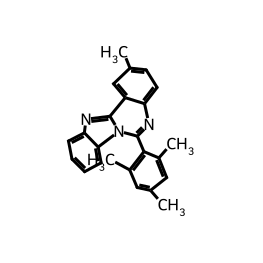 Cc1cc(C)c(-c2nc3ccc(C)cc3c3nc4ccccc4n23)c(C)c1